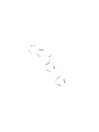 O=C(c1cc(Cl)cc(Nc2cccc(F)c2)n1)n1cc2ccccc2c1